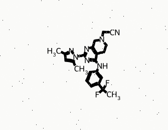 Cc1cc(C)n(-c2nc3c(c(Nc4cccc(C(C)(F)F)c4)n2)CCN(CC#N)C3)n1